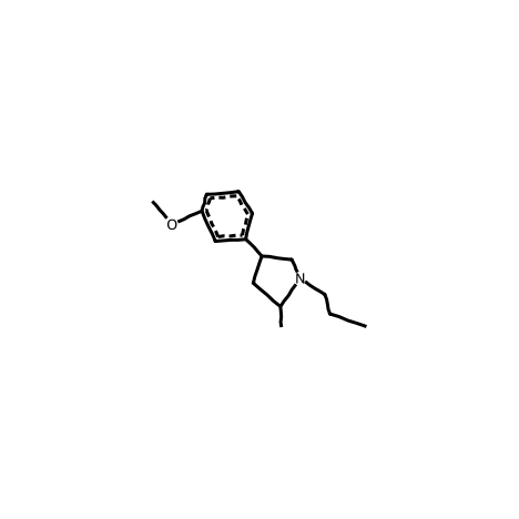 CCCN1CC(c2cccc(OC)c2)CC1C